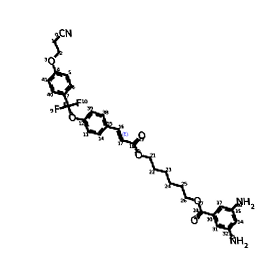 N#CCCOc1ccc(C(F)(F)Oc2ccc(/C=C/C(=O)OCCCCCCOC(=O)c3cc(N)cc(N)c3)cc2)cc1